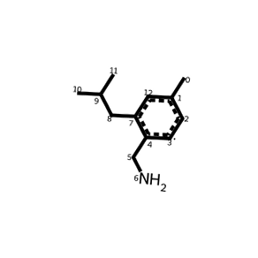 Cc1c[c]c(CN)c(CC(C)C)c1